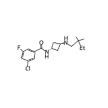 CCC(C)(C)CN[C@H]1C[C@H](NC(=O)c2cc(F)cc(Cl)c2)C1